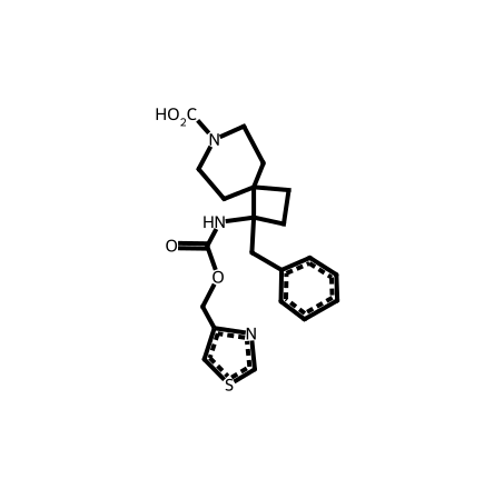 O=C(NC1(Cc2ccccc2)CCC12CCN(C(=O)O)CC2)OCc1cscn1